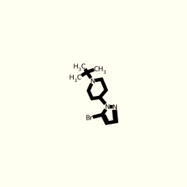 CC(C)(C)N1CCC(n2nccc2Br)CC1